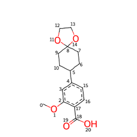 COc1cc(C2CCC3(CC2)OCCO3)ccc1C(=O)O